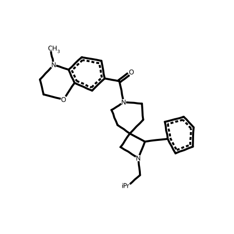 CC(C)CN1CC2(CCN(C(=O)c3ccc4c(c3)OCCN4C)CC2)C1c1ccccc1